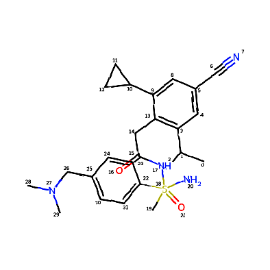 CC(C)c1cc(C#N)cc(C2CC2)c1CC(=O)NS(C)(N)(=O)c1ccc(CN(C)C)cc1